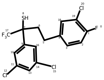 Fc1ccc(CCC(S)(c2cc(Cl)cc(Cl)c2)C(F)(F)F)cc1Cl